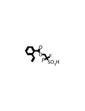 C=Cc1ccccc1C(=O)OCC(F)(F)S(=O)(=O)O